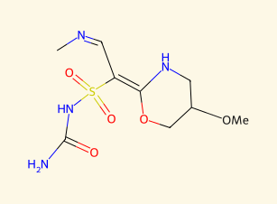 C/N=C\C(=C1/NCC(OC)CO1)S(=O)(=O)NC(N)=O